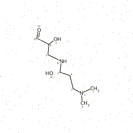 CN(C)CCCNCC(O)C=O.[OH]